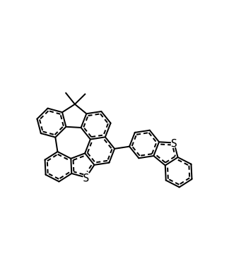 CC1(C)c2cccc3c2-c2c1ccc1c(-c4ccc5sc6ccccc6c5c4)cc4sc5cccc-3c5c4c21